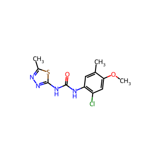 COc1cc(Cl)c(NC(=O)Nc2nnc(C)s2)cc1C